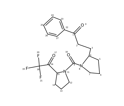 O=C(CCC1CCCN1C(=O)N1CCCC1C(=O)C(F)(F)F)c1ccccc1